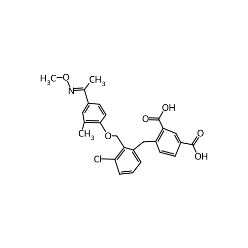 CON=C(C)c1ccc(OCc2c(Cl)cccc2Cc2ccc(C(=O)O)cc2C(=O)O)c(C)c1